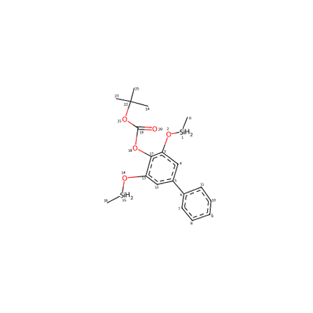 C[SiH2]Oc1cc(-c2cc[c]cc2)cc(O[SiH2]C)c1OC(=O)OC(C)(C)C